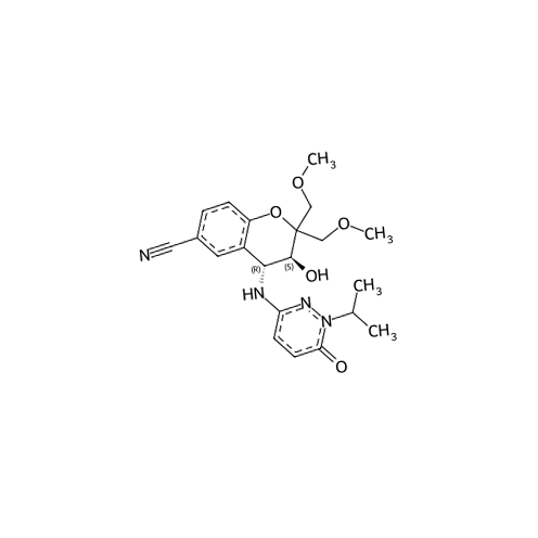 COCC1(COC)Oc2ccc(C#N)cc2[C@@H](Nc2ccc(=O)n(C(C)C)n2)[C@@H]1O